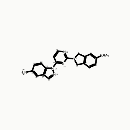 COc1ccc2c(c1)CN(c1nccc(-n3ncc4cc(N)ccc43)n1)C2